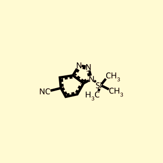 C[Si](C)(C)n1nnc2cc(C#N)ccc21